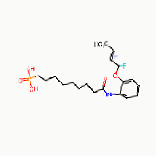 O=C(O)/C=C/C(F)Oc1ccccc1NC(=O)CCCCCCCCP(=O)(O)O